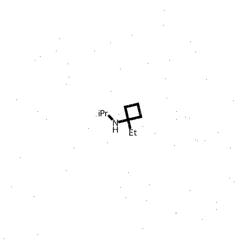 CCC1(NC(C)C)CCC1